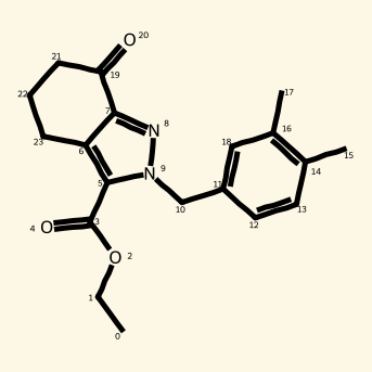 CCOC(=O)c1c2c(nn1Cc1ccc(C)c(C)c1)C(=O)CCC2